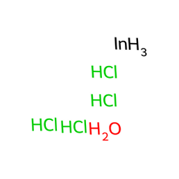 Cl.Cl.Cl.Cl.O.[InH3]